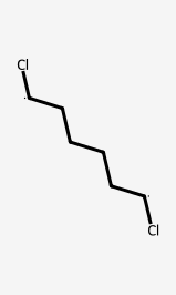 Cl[CH]CCCC[CH]Cl